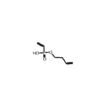 C=CCCOP(=O)(O)C=C